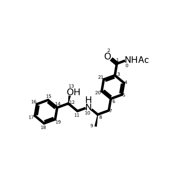 CC(=O)NC(=O)c1ccc(C[C@@H](C)NC[C@H](O)c2ccccc2)cc1